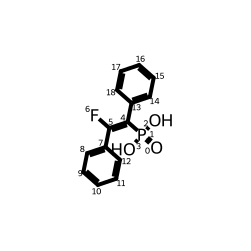 O=P(O)(O)C(=C(F)c1ccccc1)c1ccccc1